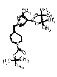 Cc1nn(CC2CCN(C(=O)OC(C)(C)C)CC2)cc1B1OC(C)(C)C(C)(C)O1